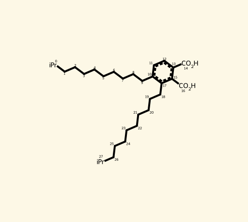 CC(C)CCCCCCCCCc1ccc(C(=O)O)c(C(=O)O)c1CCCCCCCCCC(C)C